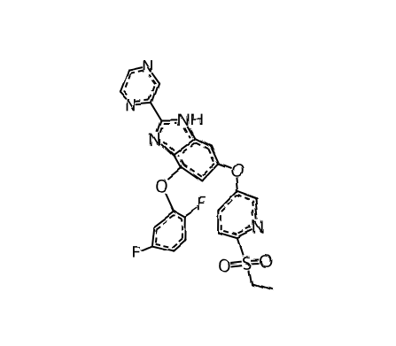 CCS(=O)(=O)c1ccc(Oc2cc(Oc3cc(F)ccc3F)c3nc(-c4cnccn4)[nH]c3c2)cn1